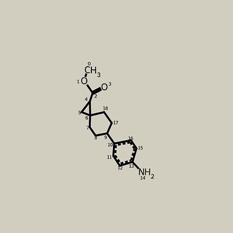 COC(=O)C1CC12CCC(c1ccc(N)cc1)CC2